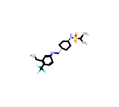 CCc1cc(NC[C@H]2CC[C@H](NS(=O)(=O)C(C)C)CC2)ccc1C(F)(F)F